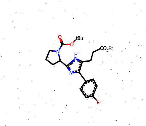 CCOC(=O)CCc1[nH]c(C2CCCN2C(=O)OC(C)(C)C)nc1-c1ccc(Br)cc1